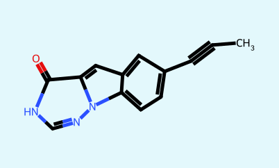 CC#Cc1ccc2c(c1)cc1c(=O)[nH]cnn12